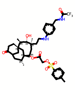 Cc1ccc(S(=O)(=O)OCC(=O)O[C@@H]2C[C@](C)(CCNc3ccc(CNC(=O)C(F)(F)F)cc3)[C@@H](O)[C@H](C)[C@]34CCC(=O)C(C[C@@H](C)[C@]2(C)C3)C4)cc1